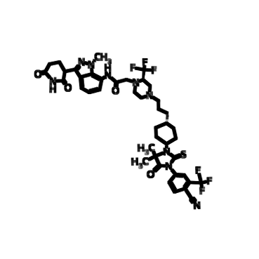 Cn1nc(C2CCC(=O)NC2=O)c2cccc(NC(=O)CN3CCN(CCC[C@H]4CC[C@H](N5C(=S)N(c6ccc(C#N)c(C(F)(F)F)c6)C(=O)C5(C)C)CC4)C[C@@H]3C(F)(F)F)c21